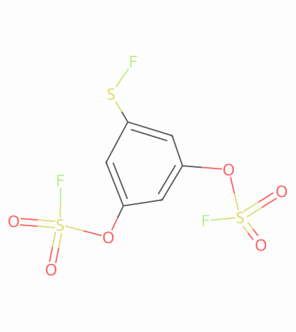 O=S(=O)(F)Oc1cc(OS(=O)(=O)F)cc(SF)c1